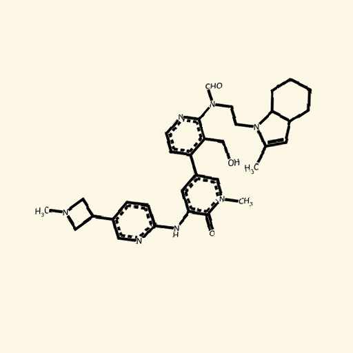 CC1=CC2CCCCC2N1CCN(C=O)c1nccc(-c2cc(Nc3ccc(C4CN(C)C4)cn3)c(=O)n(C)c2)c1CO